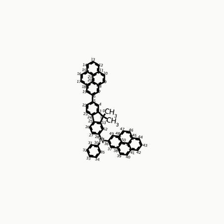 CC1(C)c2cc(-c3cc4ccc5cccc6ccc(c3)c4c56)ccc2-c2ccc(N(c3ccccc3)c3cc4ccc5cccc6ccc(c3)c4c56)cc21